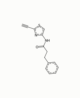 C#Cc1nc(NC(=O)CCc2ccccc2)cs1